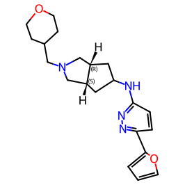 c1coc(-c2ccc(NC3C[C@@H]4CN(CC5CCOCC5)C[C@@H]4C3)nn2)c1